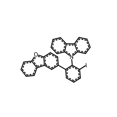 Ic1cccc(-c2ccc3oc4ccccc4c3c2)c1-n1c2ccccc2c2ccccc21